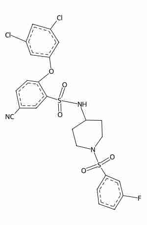 N#Cc1ccc(Oc2cc(Cl)cc(Cl)c2)c(S(=O)(=O)NC2CCN(S(=O)(=O)c3cccc(F)c3)CC2)c1